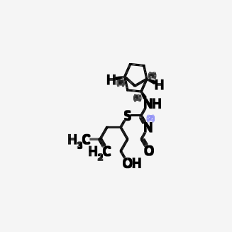 C=C(C)CC(CCO)S/C(=N\C=O)N[C@H]1C[C@@H]2CC[C@H]1C2